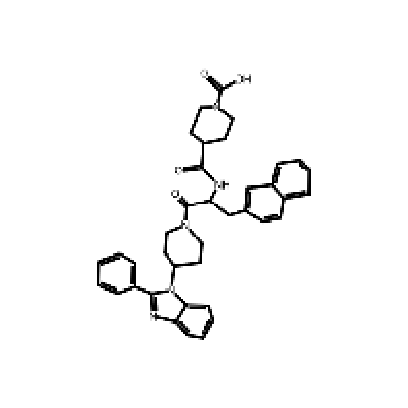 O=C(NC(Cc1ccc2ccccc2c1)C(=O)N1CCC(n2c(-c3ccccc3)nc3ccccc32)CC1)C1CCN(C(=O)O)CC1